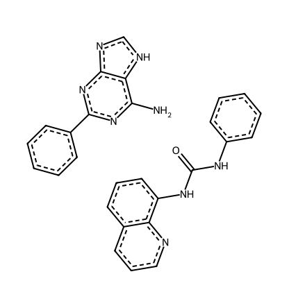 Nc1nc(-c2ccccc2)nc2nc[nH]c12.O=C(Nc1ccccc1)Nc1cccc2cccnc12